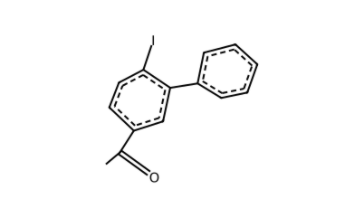 CC(=O)c1ccc(I)c(-c2ccccc2)c1